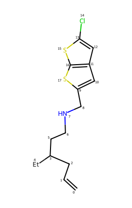 C=CCC(CC)CCNCc1cc2cc(Cl)sc2s1